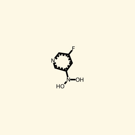 ON(O)c1cncc(F)c1